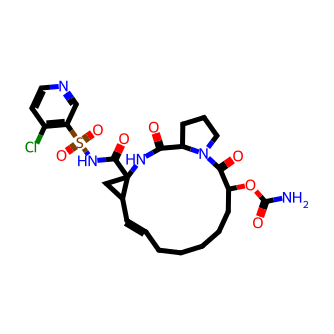 NC(=O)OC1CCCCC/C=C/C2CC2(C(=O)NS(=O)(=O)c2cnccc2Cl)NC(=O)C2CCCN2C1=O